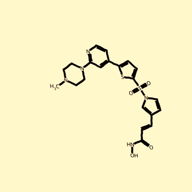 CN1CCN(c2cc(-c3ccc(S(=O)(=O)n4ccc(C=CC(=O)NO)c4)s3)ccn2)CC1